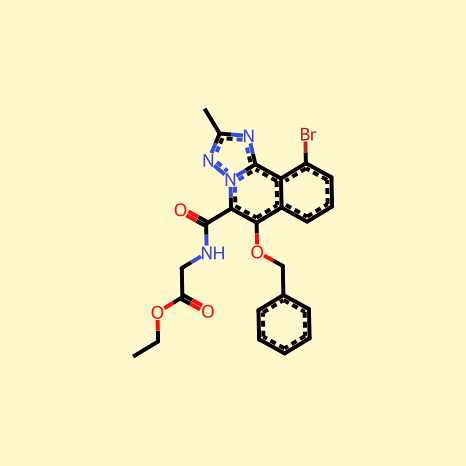 CCOC(=O)CNC(=O)c1c(OCc2ccccc2)c2cccc(Br)c2c2nc(C)nn12